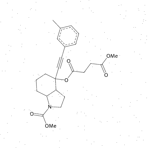 COC(=O)CCC(=O)OC1(C#Cc2cccc(C)c2)CCCC2C1CCN2C(=O)OC